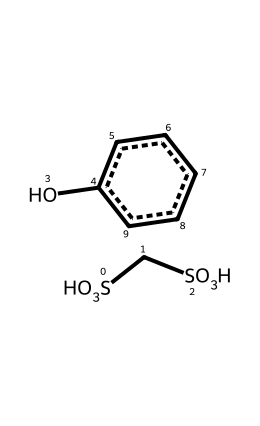 O=S(=O)(O)CS(=O)(=O)O.Oc1ccccc1